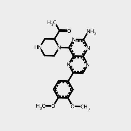 COc1ccc(-c2cnc3nc(N)nc(N4CCNCC4C(C)=O)c3n2)cc1OC